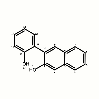 Oc1cc2ccccc2[c]c1-c1ccccc1O